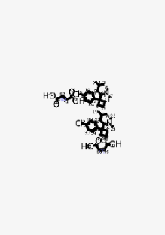 CC(C)CC(N(C)C)C1(c2ccc(Cl)cc2)CCC1.CC(C)CC(N(C)C)C1(c2ccc(Cl)cc2)CCC1.O=C(O)/C=C/C(=O)O.O=C(O)/C=C\C(=O)O